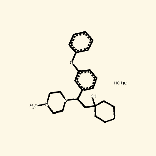 CN1CCN(C(CC2(O)CCCCC2)c2cccc(Oc3ccccc3)c2)CC1.Cl.Cl